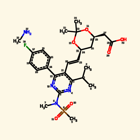 CC(C)c1nc(N(C)S(C)(=O)=O)nc(-c2ccc(F)cc2)c1C=C[C@@H]1C[C@H](CC(=O)O)OC(C)(C)O1.CN